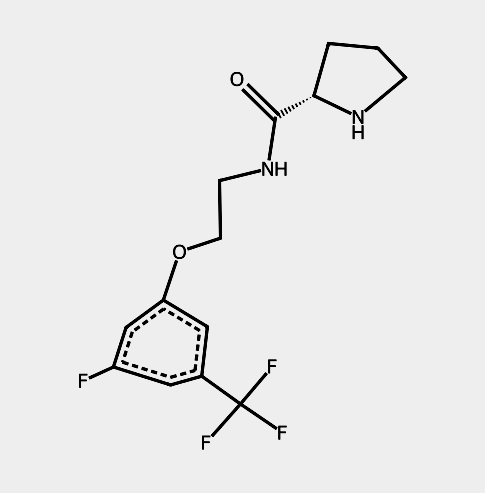 O=C(NCCOc1cc(F)cc(C(F)(F)F)c1)[C@@H]1CCCN1